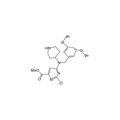 COC(=O)c1cc(N(Cc2cc(OC(C)C)cc(OC(C)C)c2)C2CCNCC2)nc(Cl)n1